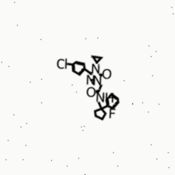 O=C(Cn1nc(-c2ccc(Cl)cc2)n(C2CC2)c1=O)NCC1(c2ccccc2F)CCCC1